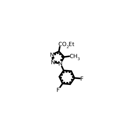 CCOC(=O)c1nnn(-c2cc(F)cc(F)c2)c1C